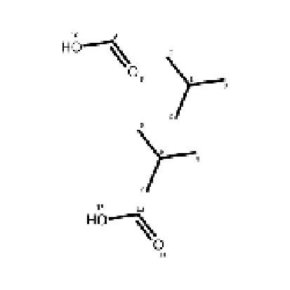 CC(C)C.CC(C)C.O=CO.O=CO